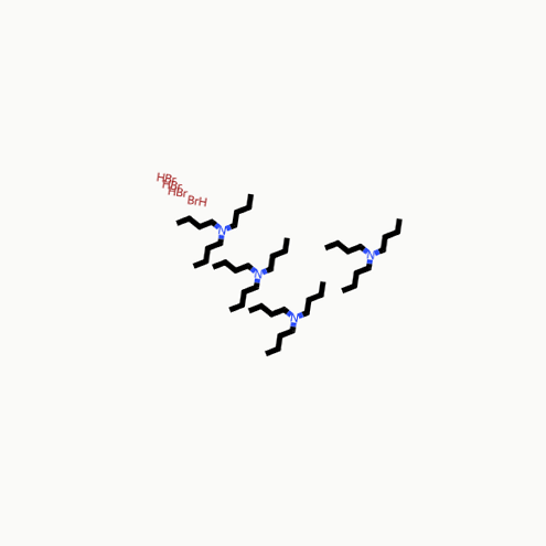 Br.Br.Br.Br.CCCCN(CCCC)CCCC.CCCCN(CCCC)CCCC.CCCCN(CCCC)CCCC.CCCCN(CCCC)CCCC